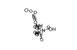 CN(CCCC(=O)O)CCC(CSc1ccccc1)Nc1ccc(S(=O)(=O)NC(=O)c2ccc(N3CCN(Cc4ccccc4-c4ccc(Cl)cc4)CC3)cc2)cc1[N+](=O)[O-]